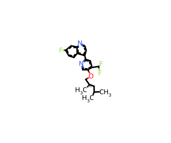 CC(C)C[C@@H](C)COc1cnc(-c2ccnc3cc(F)ccc23)cc1C(F)F